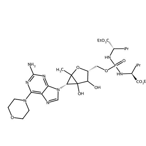 CCOC(=O)[C@@H](NP(=O)(N[C@H](C(=O)OCC)C(C)C)OC[C@H]1OC2(C)[C@@H](n3cnc4c(N5CCOCC5)nc(N)nc43)C2(O)C1O)C(C)C